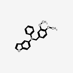 COc1ccc(CN(c2ccccc2)c2ccc3occc3c2)cc1OC